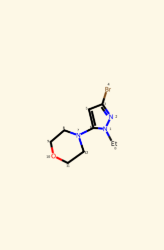 CCn1nc(Br)cc1N1CCOCC1